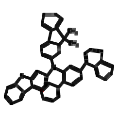 CC1(C)c2ccccc2-c2ccc(N(c3ccc4c(c3)sc3ccccc34)c3cc(-c4cccc5ccccc45)ccc3-c3ccccc3)cc21